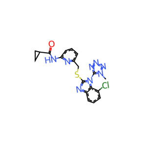 Cn1nnnc1-n1c(SCc2cccc(NC(=O)C3CC3)n2)nc2cccc(Cl)c21